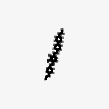 CCCC1CCC(COc2ccc(CCC3CCC(C4CCC(CCC)CC4)CC3)c(F)c2F)CC1